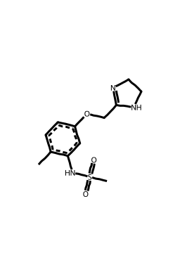 Cc1ccc(OCC2=NCCN2)cc1NS(C)(=O)=O